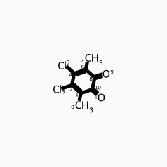 CC1=C(Cl)C(Cl)=C(C)C(=O)C1=O